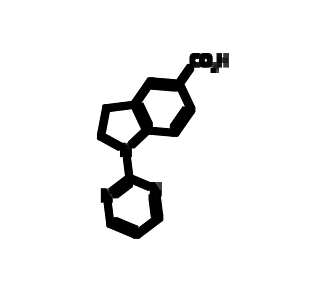 O=C(O)c1ccc2c(c1)CCN2c1ncccn1